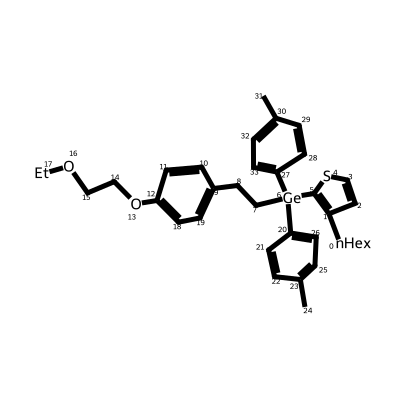 CCCCCCc1ccs[c]1[Ge]([CH2]Cc1ccc(OCCOCC)cc1)([c]1ccc(C)cc1)[c]1ccc(C)cc1